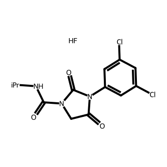 CC(C)NC(=O)N1CC(=O)N(c2cc(Cl)cc(Cl)c2)C1=O.F